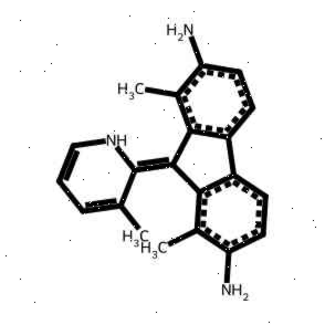 CC1=CC=CNC1=C1c2c(ccc(N)c2C)-c2ccc(N)c(C)c21